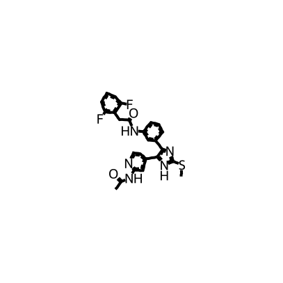 CSc1nc(-c2cccc(NC(=O)Cc3c(F)cccc3F)c2)c(-c2ccnc(NC(C)=O)c2)[nH]1